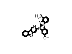 Bc1cccc2c1nc1n(-c3cc4oc5ccccc5c4cn3)c3cc(O)ccc3n21